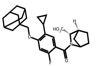 O=C(O)[C@@H]1[C@H]2CCC(C2)N1C(=O)c1cc(C2CC2)c(OCC23CC4CC(CC(C4)C2)C3)cc1F